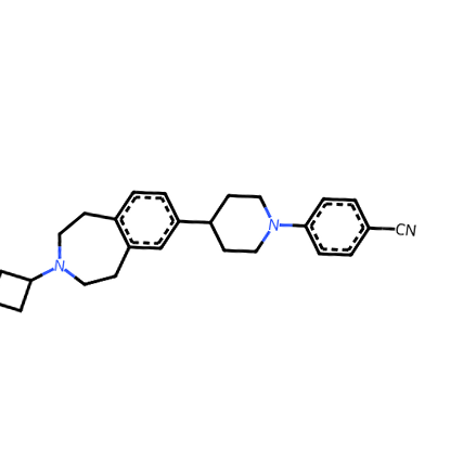 N#Cc1ccc(N2CCC(c3ccc4c(c3)CCN(C3CCC3)CC4)CC2)cc1